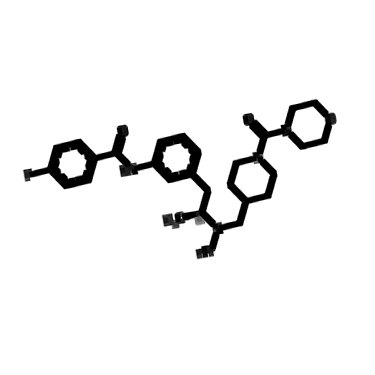 CCCN(CC1CCN(C(=O)N2CCOCC2)CC1)[C@@H](C)Cc1cccc(NC(=O)c2ccc(F)cc2)c1